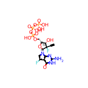 C#CC1(F)[C@@H](O)[C@@H](COP(=O)(O)OP(=O)(O)OP(=O)(O)O)O[C@H]1n1cc(F)c2c(=O)[nH]c(N)nc21